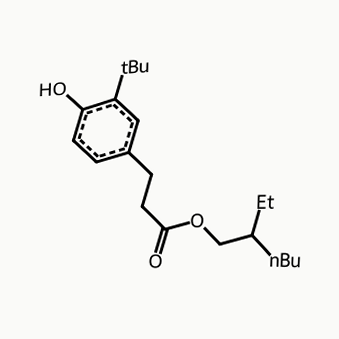 CCCCC(CC)COC(=O)CCc1ccc(O)c(C(C)(C)C)c1